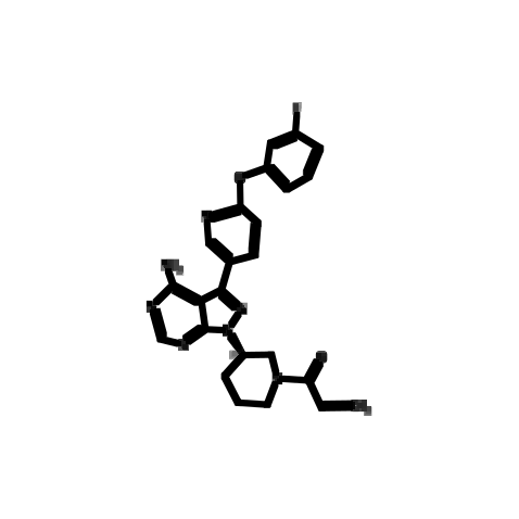 C=CC(=O)N1CCC[C@@H](n2nc(-c3ccc(Oc4cccc(F)c4)nc3)c3c(N)ncnc32)C1